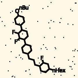 CCCCCCC1CCC(CCCC2CCC(C3CCC(C4CCC(OCCCC)CC4)C(F)C3F)CC2)C(F)C1